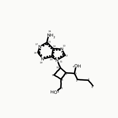 CCCC(O)C1C(CO)CC1n1cnc2c(N)ncnc21